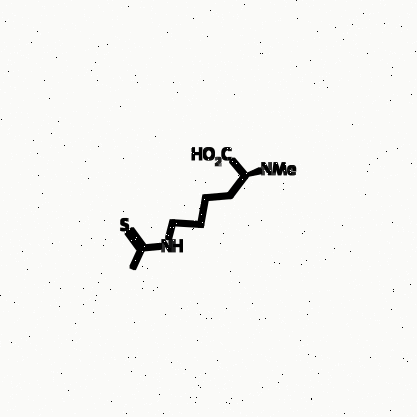 CN[C@@H](CCCCNC(C)=S)C(=O)O